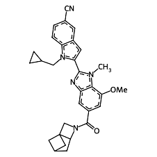 COc1cc(C(=O)N2CC34CC(CC23)C4)cc2nc(-c3cc4cc(C#N)ccc4n3CC3CC3)n(C)c12